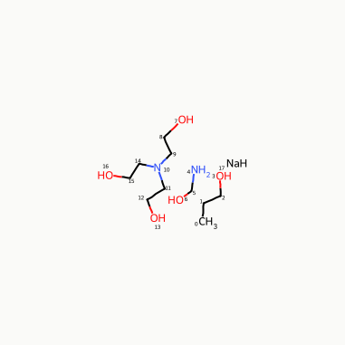 CCCO.NCO.OCCN(CCO)CCO.[NaH]